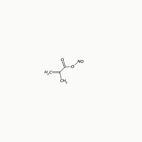 C=C(C)C(=O)ON=O